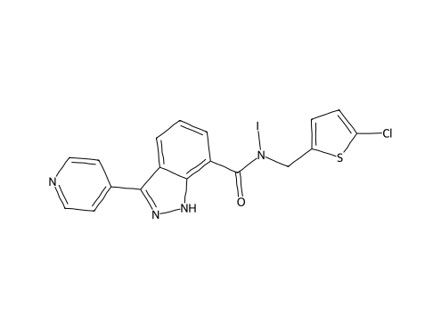 O=C(c1cccc2c(-c3ccncc3)n[nH]c12)N(I)Cc1ccc(Cl)s1